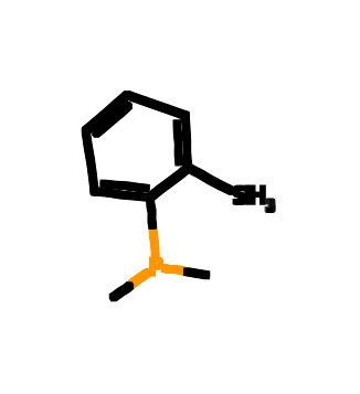 CP(C)c1ccccc1[SiH3]